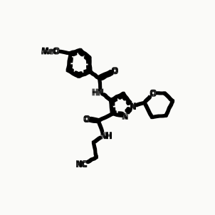 COc1ccc(C(=O)Nc2cn(C3CCCCO3)nc2C(=O)NCCC#N)cc1